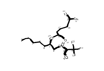 CCCCCC(CNC(=O)C(F)(F)F)OC(=O)CCC(=O)O